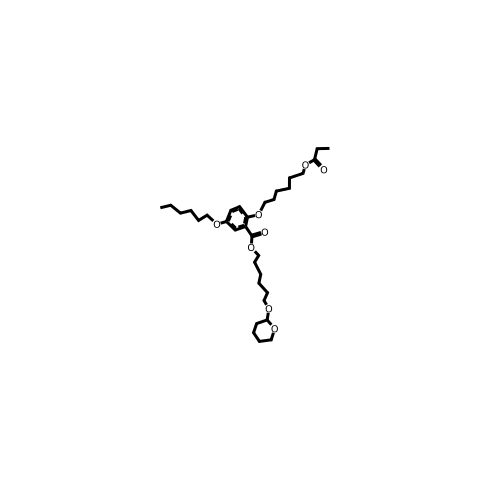 CCCCCCOc1ccc(OCCCCCCOC(=O)CC)c(C(=O)OCCCCCCOC2CCCCO2)c1